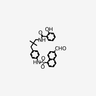 CC(C)(CNC(=O)c1ccccc1O)Cc1ccc(NS(=O)(=O)c2cccc3cc(C=O)ccc23)cc1